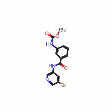 CC(C)(C)OC(=O)Nc1cccc(C(=O)Nc2cncc(Br)c2)c1